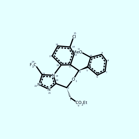 CCOC(=O)C[C@H]1O[C@H](c2ccccc2OC)c2cc(Cl)ccc2-n2c1nnc2C(F)(F)F